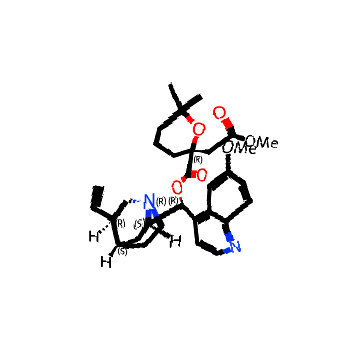 C=C[C@H]1C[N@]2CC[C@H]1C[C@H]2[C@H](OC(=O)[C@]1(CC(=O)OC)CCCC(C)(C)O1)c1ccnc2ccc(OC)cc12